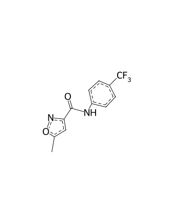 Cc1cc(C(=O)Nc2ccc(C(F)(F)F)cc2)no1